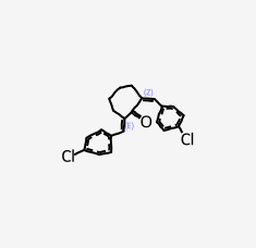 O=C1/C(=C\c2ccc(Cl)cc2)CCCC/C1=C\c1ccc(Cl)cc1